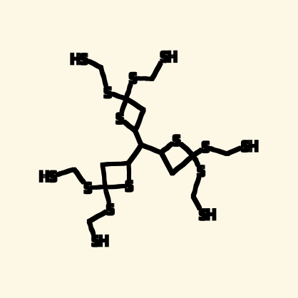 SCSC1(SCS)CC(C(C2CC(SCS)(SCS)S2)C2CC(SCS)(SCS)S2)S1